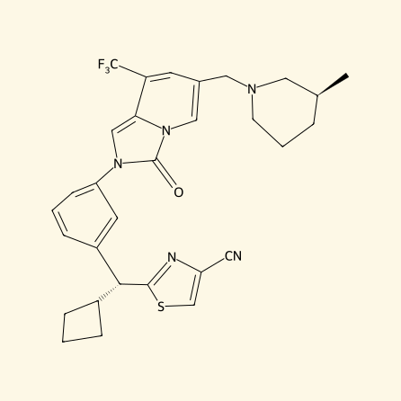 C[C@H]1CCCN(Cc2cc(C(F)(F)F)c3cn(-c4cccc([C@H](c5nc(C#N)cs5)C5CCC5)c4)c(=O)n3c2)C1